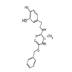 C[C@H](NC(=O)OCc1ccccc1)C(=O)NCCc1ccc(O)c(O)c1